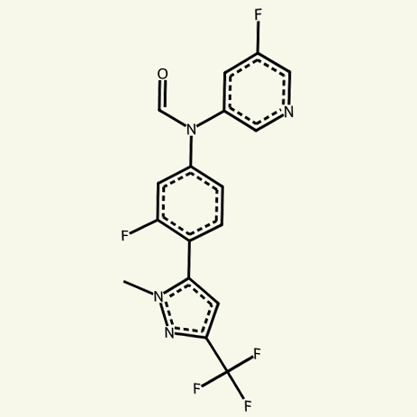 Cn1nc(C(F)(F)F)cc1-c1ccc(N(C=O)c2cncc(F)c2)cc1F